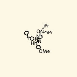 COc1ccc(Nc2nc3ccc(C(=O)N(CCC(C)C)CCC(C)C)nc3n2C2CCN(Cc3ccccc3)CC2)cc1